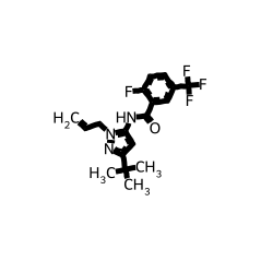 C=CCn1nc(C(C)(C)C)cc1NC(=O)c1cc(C(F)(F)F)ccc1F